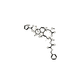 CO[C@H]1C[C@H]2C=CC3C4[C@H](O)[C@@H](C)[C@@H](OC(=O)c5ccc[nH]5)[C@@H]3O[C@]42/C(C)=C/[C@@H](C)[C@@H]([C@@H](C)OC(=O)C(=O)OCc2ccccc2)OC1=O